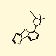 CC1OB(c2cccc3c2oc2cccnc23)OC1(C)C